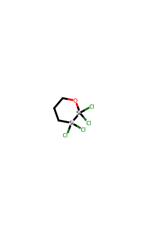 Cl[Si]1(Cl)CCCO[Si]1(Cl)Cl